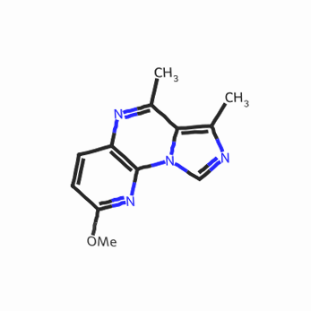 COc1ccc2nc(C)c3c(C)ncn3c2n1